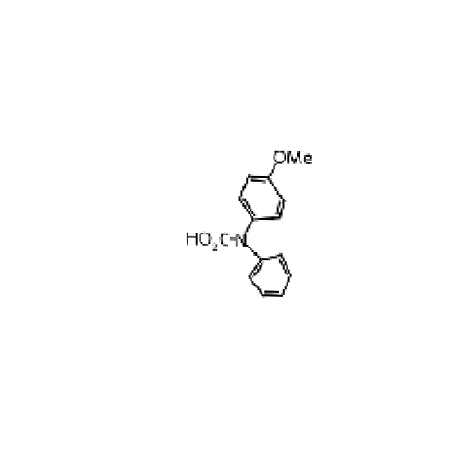 COc1ccc(N(C(=O)O)c2ccccc2)cc1